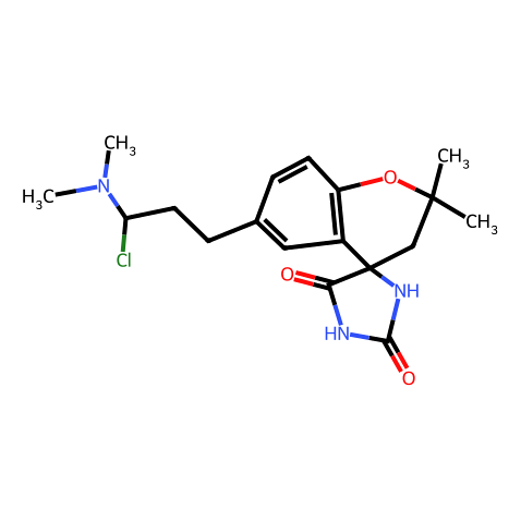 CN(C)C(Cl)CCc1ccc2c(c1)C1(CC(C)(C)O2)NC(=O)NC1=O